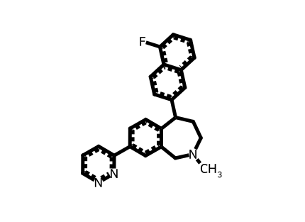 CN1CCC(c2ccc3c(F)cccc3c2)c2ccc(-c3cccnn3)cc2C1